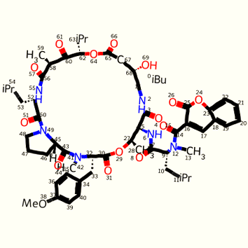 CC[C@H](C)C1NC(=O)[C@@H](NC(=O)[C@@H](CC(C)C)N(C)C(=O)c2cc3ccccc3oc2=O)[C@@H](C)OC(=O)[C@H](Cc2ccc(OC)cc2)N(C)C(=O)[C@@H]2CCCN2C(=O)[C@H](CC(C)C)NC(=O)[C@@H](C)C(=O)[C@H](C(C)C)OC(=O)C[C@@H]1O